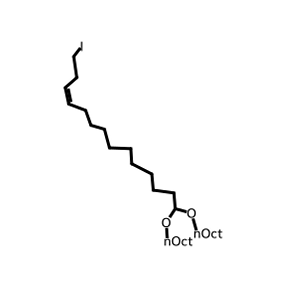 CCCCCCCCOC(CCCCCCCCC/C=C\CCI)OCCCCCCCC